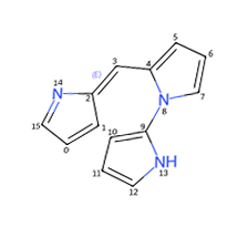 C1=C/C(=C\c2cccn2-c2ccc[nH]2)N=C1